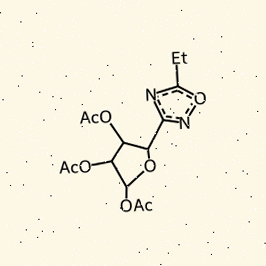 CCc1nc(C2OC(OC(C)=O)C(OC(C)=O)C2OC(C)=O)no1